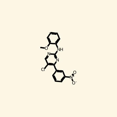 COc1c[c]ccc1Nc1ncc(Cl)c(-c2cccc([N+](=O)[O-])c2)n1